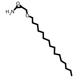 CCCCCCCCCCCCCCCCOCC1OC1N